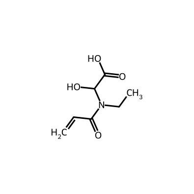 C=CC(=O)N(CC)C(O)C(=O)O